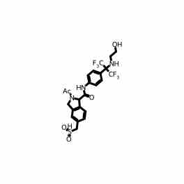 CC(=O)N1Cc2cc(C[SH](=O)=O)ccc2C1C(=O)Nc1ccc(C(NCCO)(C(F)(F)F)C(F)(F)F)cc1